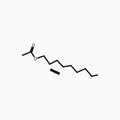 C=C.CCCCCCCCCOC(C)=O